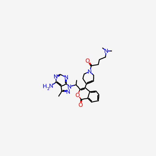 Cc1nn(C(C)c2oc(=O)c3ccccc3c2C2=CCN(C(=O)CCCN(C)C)CC2)c2ncnc(N)c12